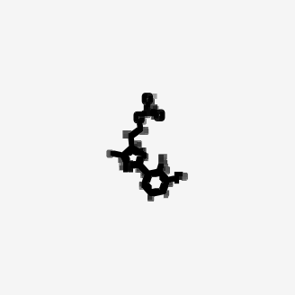 Cc1nc(-c2cccc(F)c2F)sc1CCO[N+](=O)[O-]